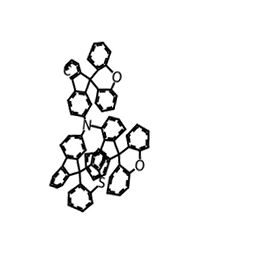 c1ccc2c(c1)Oc1ccccc1C21c2ccccc2-c2ccc(N(c3ccc4c(c3)C3(c5ccccc5Sc5ccccc53)c3ccccc3-4)c3cccc4c3-c3ccccc3C43c4ccccc4Oc4ccccc43)cc21